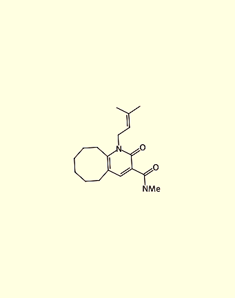 CNC(=O)c1cc2c(n(CC=C(C)C)c1=O)CCCCCC2